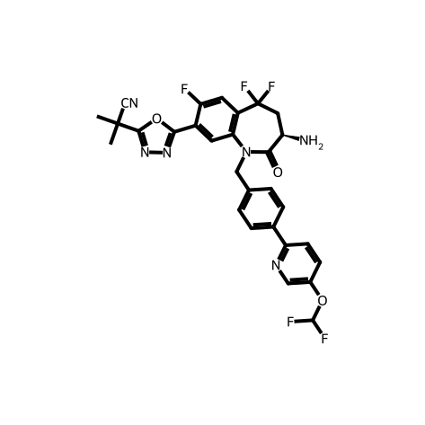 CC(C)(C#N)c1nnc(-c2cc3c(cc2F)C(F)(F)C[C@@H](N)C(=O)N3Cc2ccc(-c3ccc(OC(F)F)cn3)cc2)o1